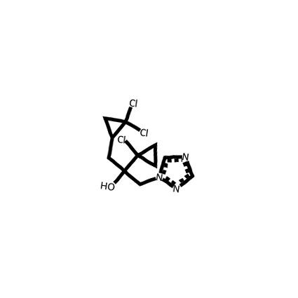 OC(CC1CC1(Cl)Cl)(Cn1cncn1)C1(Cl)CC1